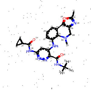 [2H]C([2H])([2H])NC(=O)c1nnc(NC(=O)C2CC2)cc1Nc1cccc2c1N(C)Cc1nc(C)oc1-2